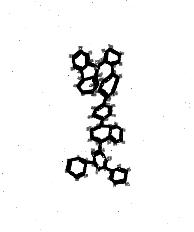 c1ccc(-c2nc(-c3ccccc3)nc(-c3ccc(-c4ccc(-c5ccc(-c6ccccc6-n6c7ccccc7c7ccccc76)cc5)cc4)c4ccccc34)n2)cc1